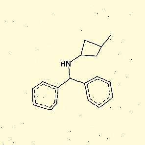 CC1CC(NC(c2ccccc2)c2ccccc2)C1